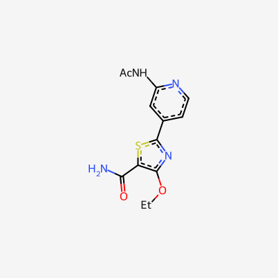 CCOc1nc(-c2ccnc(NC(C)=O)c2)sc1C(N)=O